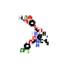 CC1(NC(=O)COc2ccc(S(C)(=O)=O)cc2)CC(C)(NC(=O)COc2ccc(Cl)c(F)c2)C1